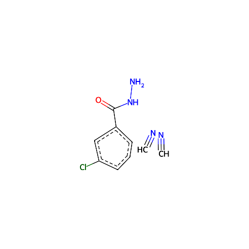 C#N.C#N.NNC(=O)c1cccc(Cl)c1